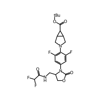 CC(C)(C)OC(=O)C1C2CN(c3c(F)cc(N4C(=O)OCC4CNC(=O)C(F)F)cc3F)CC21